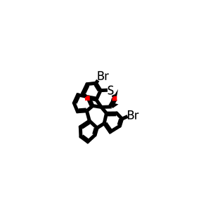 Brc1ccc2c(c1)C1(c3ccccc3Sc3c(Br)cccc31)c1ccccc1-c1ccccc1-2